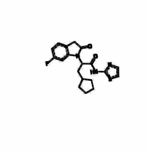 O=C(Nc1nccs1)C(CC1CCCC1)N1C(=O)Cc2ccc(F)cc21